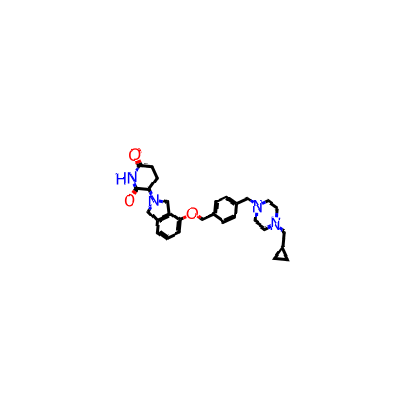 O=C1CCC(N2Cc3cccc(OCc4ccc(CN5CCN(CC6CC6)CC5)cc4)c3C2)C(=O)N1